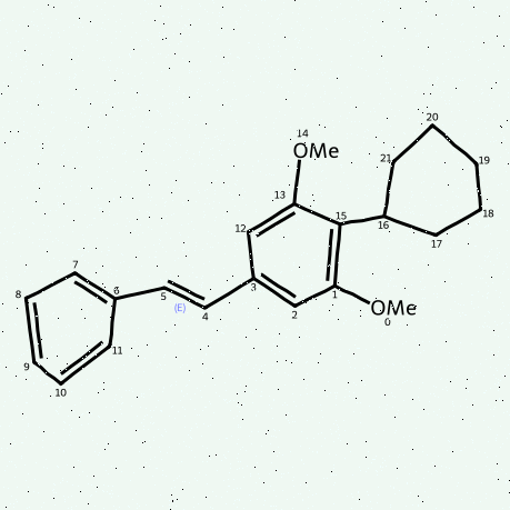 COc1cc(/C=C/c2ccccc2)cc(OC)c1C1CCCCC1